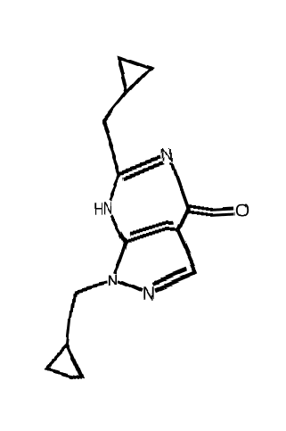 O=c1nc(CC2CC2)[nH]c2c1cnn2CC1CC1